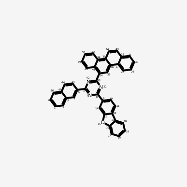 c1ccc2cc(-c3nc(-c4ccc5c(c4)oc4ccccc45)nc(-c4cc5c6ccccc6ccc5c5ccccc45)n3)ccc2c1